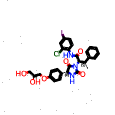 C[C@@H](c1ccccc1)C(C(=O)Nc1ccc(I)cc1Cl)N1C(=O)N[C@H](c2ccc(OC[C@H](O)CO)cc2)C1=O